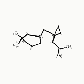 CC(C)CC1(CN2CCC(C)(O)C2)CC1